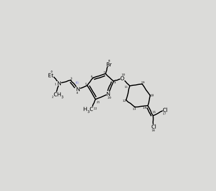 CCN(C)/C=N/c1cc(Br)c(OC2CCC(=C(Cl)Cl)CC2)nc1C